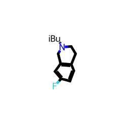 CCC(C)N1CCc2ccc(F)cc2C1